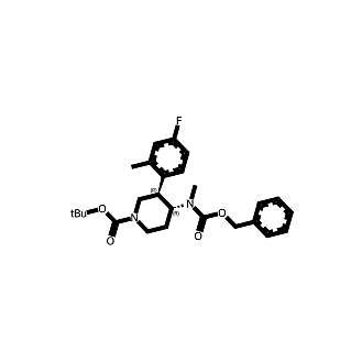 Cc1cc(F)ccc1[C@@H]1CN(C(=O)OC(C)(C)C)CC[C@H]1N(C)C(=O)OCc1ccccc1